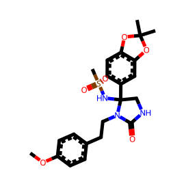 COc1ccc(CCN2C(=O)NCC2(NS(C)(=O)=O)c2ccc3c(c2)OC(C)(C)O3)cc1